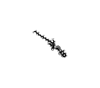 CCCCCCCCCCCCCCCC(CC)ON(CCC)C(=O)OCC(COC(=O)N(C)c1ccccn1)OC